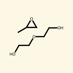 CC1CO1.OCCOCCO